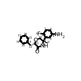 C[C@]1(c2cc(N)ccc2F)CO[C@@H](Cc2ccccc2)C(=O)N1